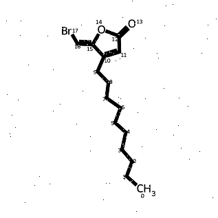 CCCCCCCCCCC1=CC(=O)O/C1=C\Br